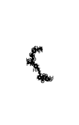 C=N/C(=C\C(=C/C)c1nc(C(=O)Nc2cn(-c3ccc(CNCCCc4cccc5c4C(=O)N(C4CCC(=O)NC4=O)C5=O)cc3)nc2C(F)F)co1)NCC1CC1